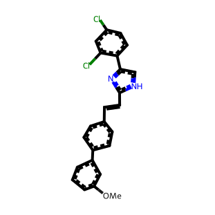 COc1cccc(-c2ccc(C=Cc3nc(-c4ccc(Cl)cc4Cl)c[nH]3)cc2)c1